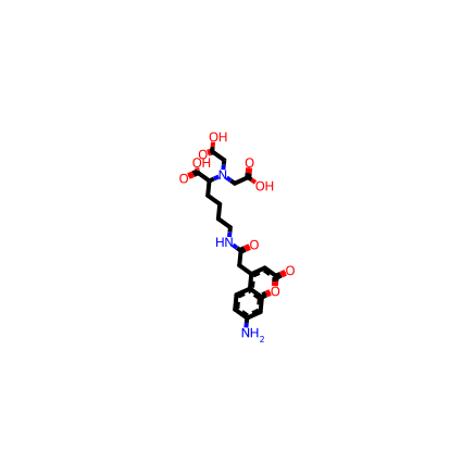 Nc1ccc2c(CC(=O)NCCCCC(C(=O)O)N(CC(=O)O)CC(=O)O)cc(=O)oc2c1